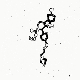 CCC(C)OC(=O)N1CCc2c([nH]c3ccc(Cl)cc23)C1c1ccc(OCCCn2ccnc2)cc1